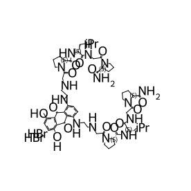 Br.Br.CC(C)C[C@H](NC(=O)[C@@H]1CCCN1C(=O)CNCCNc1ccc(NCCNCC(=O)N2CCC[C@H]2C(=O)N[C@@H](CC(C)C)C(=O)NCC(=O)N2CCC[C@H]2C(N)=O)c2c1C(=O)c1c(O)ccc(O)c1C2=O)C(=O)NCC(=O)N1CCC[C@H]1C(N)=O